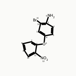 Nc1ccc(Oc2ccccc2[N+](=O)[O-])cc1Br